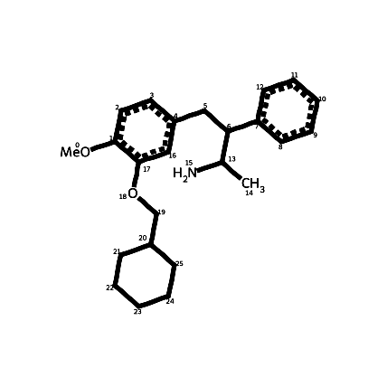 COc1ccc(CC(c2ccccc2)C(C)N)cc1OCC1CCCCC1